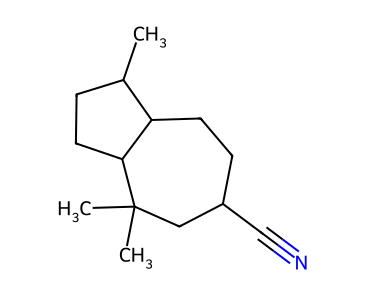 CC1CCC2C1CCC(C#N)CC2(C)C